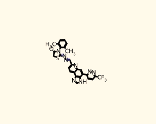 Cc1cccc(C)c1N1C(=O)CS/C1=N\N=C\c1ccc2c(cc(-c3ccc(C(F)(F)F)nn3)c3[nH]cnc32)n1